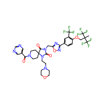 CC(COc1ccc(-c2noc(CN3C(=O)N(CCN4CCOCC4)C4(CCN(C(=O)c5cncnc5)CC4)C3=O)n2)cc1C(F)(F)F)(C(F)(F)F)C(F)(F)F